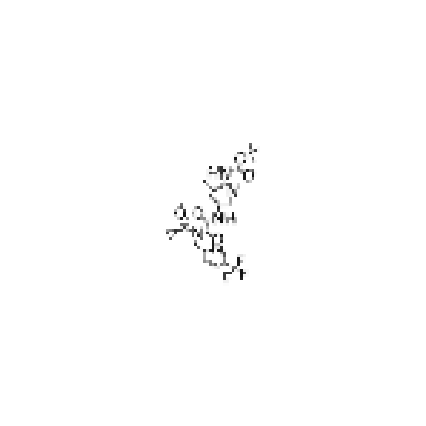 COC[C@@H](C1CC1)N(Cc1ccc(C(F)(F)F)cn1)C(=O)C(=O)Nc1cnc(NC(=O)OC(C)(C)C)c(C)c1